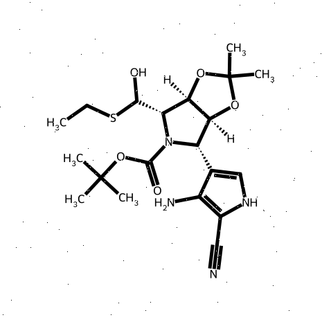 CCSC(O)[C@@H]1[C@H]2OC(C)(C)O[C@H]2[C@H](c2c[nH]c(C#N)c2N)N1C(=O)OC(C)(C)C